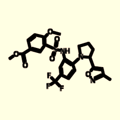 COC(=O)c1ccc(OC)c(S(=O)(=O)Nc2cc(C(F)(F)F)ccc2N2CCCC2c2cc(C)no2)c1